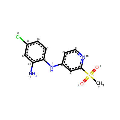 CS(=O)(=O)c1cc(Nc2ccc(Cl)cc2N)ccn1